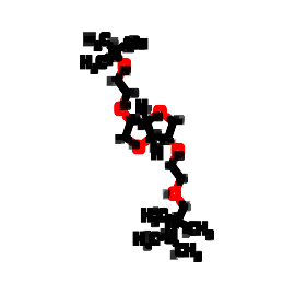 C[SiH](C)C(C)(C)COCCO[C@H]1CO[C@H]2[C@@H]1OC[C@H]2OCCO[Si](C)(C)C(C)(C)C